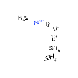 [Li+].[Li+].[Li+].[N-3].[SiH4].[SiH4].[SiH4]